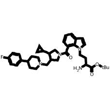 CC(C)(C)OC(=O)C(N)CCn1ccc2cccc(C(=O)N3CC(CN4CCC(c5ccc(F)cc5)CC4)C(C4CC4)C3)c21